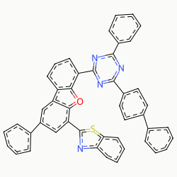 c1ccc(-c2ccc(-c3nc(-c4ccccc4)nc(-c4cccc5c4oc4c(-c6nc7ccccc7s6)cc(-c6ccccc6)cc45)n3)cc2)cc1